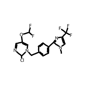 Cn1cc(C(F)(F)F)nc1-c1ccc(CN2C=C(OC(F)F)C=NC2Cl)cc1